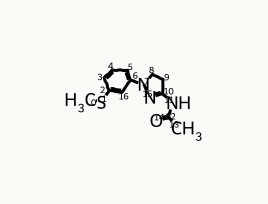 CSc1cccc(N2CCC(NC(C)=O)=N2)c1